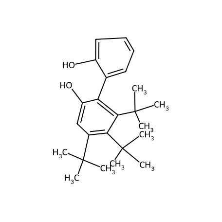 CC(C)(C)c1cc(O)c(-c2ccccc2O)c(C(C)(C)C)c1C(C)(C)C